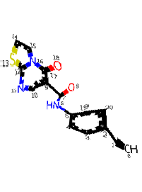 C#Cc1ccc(NC(=O)c2cnc3sccn3c2=O)cc1